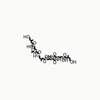 CC(=O)N[C@@H](CCCN(O)C(=O)/C=C(\C)CCO)C(=O)OCC/C(C)=C/C(=O)N(O)CCC[C@@H]1NC(=O)[C@H](CCCN(O)C(=O)/C=C(\C)CCO)NC1=O